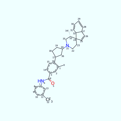 Cc1cc(C(=O)Nc2cccc(C(F)(F)F)c2)ccc1C1CCC(N2CCC3(C=CC4C=CC=CC43)[C@@H](C)C2)C1